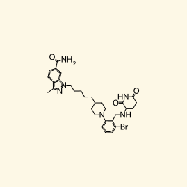 Cc1nn(CCCCCC2CCN(c3cccc(Br)c3CNC3CCC(=O)NC3=O)CC2)c2cc(C(N)=O)ccc12